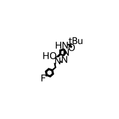 CC(C)(C)C(=O)Nc1cc2c(O)n(CCc3ccc(F)cc3)cnc-2n1